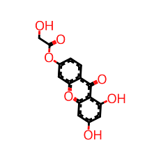 O=C(CO)Oc1ccc2c(=O)c3c(O)cc(O)cc3oc2c1